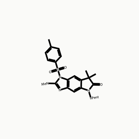 CCCCCN1C(=O)C(C)(C)c2cc3c(cc21)nc(NC)n3S(=O)(=O)c1ccc(C)cc1